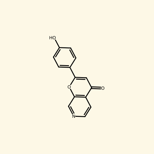 O=c1cc(-c2ccc(O)cc2)oc2cnccc12